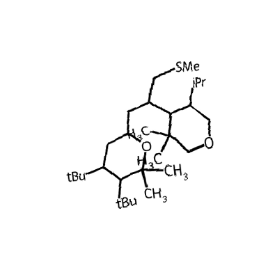 CSCC(CC1CC(C(C)(C)C)C(C(C)(C)C)C(C)(C)O1)C1C(C(C)C)COCC1(C)C